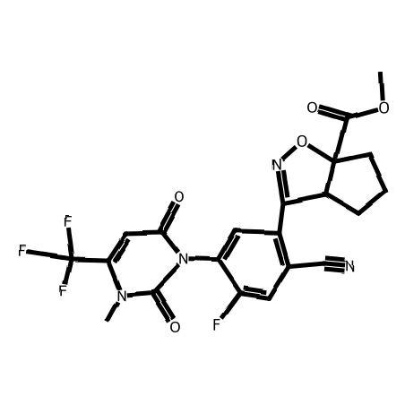 COC(=O)C12CCCC1C(c1cc(-n3c(=O)cc(C(F)(F)F)n(C)c3=O)c(F)cc1C#N)=NO2